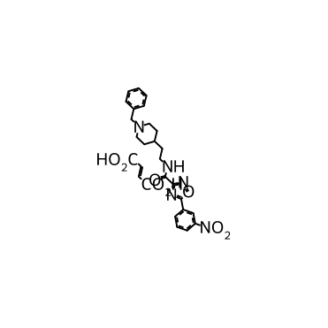 O=C(NCCC1CCN(Cc2ccccc2)CC1)c1noc(-c2cccc([N+](=O)[O-])c2)n1.O=C(O)/C=C/C(=O)O